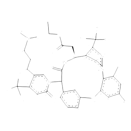 CCOC(=O)C[C@@H]1NC(=O)C(n2cc(CCCN(C)C)c(C(F)(F)F)cc2=O)c2cccc(c2)Oc2cc(C)cc(C)c2-n2cc1c(C(F)(F)F)n2